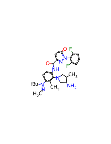 C=NN(c1ccc(NC(=O)c2ccc(=O)n(-c3c(F)cccc3F)n2)c(N2C[C@@H](C)[C@@H](N)C2)c1C)[C@H](C)CC